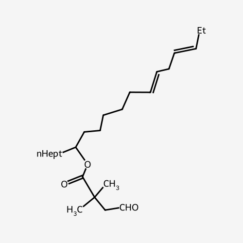 CCC=CCC=CCCCCCC(CCCCCCC)OC(=O)C(C)(C)CC=O